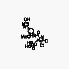 CCc1c(Cl)nc(C(=O)N[C@@H]2CCN(c3nnc(O)s3)C[C@@H]2OC)n1COP(=O)(O)O